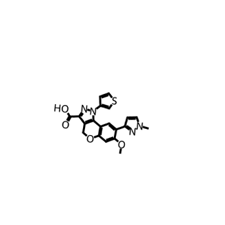 COc1cc2c(cc1-c1ccn(C)n1)-c1c(c(C(=O)O)nn1-c1ccsc1)CO2